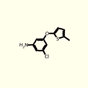 Cc1ccc(Oc2cc(N)cc(Cl)c2)s1